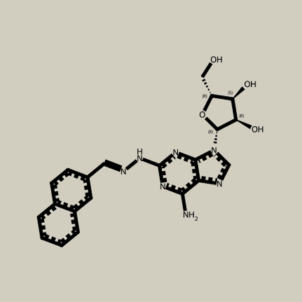 Nc1nc(NN=Cc2ccc3ccccc3c2)nc2c1ncn2[C@@H]1O[C@H](CO)[C@@H](O)[C@H]1O